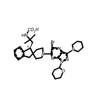 CC(C)(C[C@@H]1c2ccccc2CC12CCN(c1nc3c(nc1Br)c(N1CCCCC1)nn3C1CCCCO1)CC2)NC(=O)O